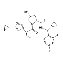 CC(C)(C)[C@H](C(=O)N1CC(O)CC1C(=O)NC(c1ccc(F)cc1F)C1CC1)n1cc(C2CC2)nn1